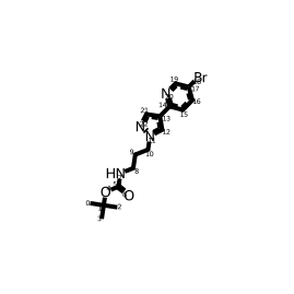 CC(C)(C)OC(=O)NCCCn1cc(-c2ccc(Br)cn2)cn1